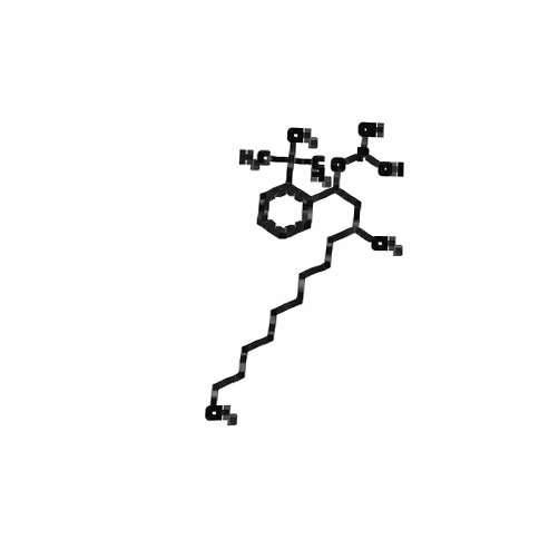 CCCCCCCCCCC(C)CC(OP(O)O)c1ccccc1C(C)(C)C